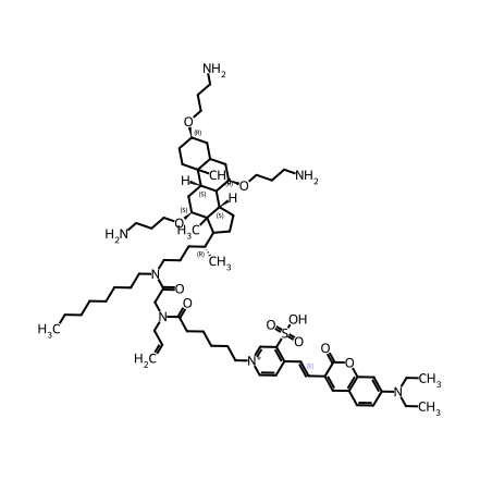 C=CCN(CC(=O)N(CCCCCCCC)CCC[C@@H](C)C1CC[C@H]2C3[C@H](OCCCN)CC4C[C@H](OCCCN)CCC4(C)[C@H]3C[C@H](OCCCN)C12C)C(=O)CCCCC[n+]1ccc(/C=C/c2cc3ccc(N(CC)CC)cc3oc2=O)c(S(=O)(=O)O)c1